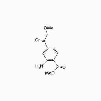 COCC(=O)c1ccc(C(=O)OC)c(N)c1